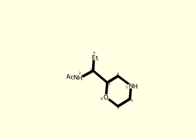 CCC(NC(C)=O)C1CNCCO1